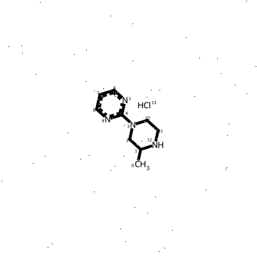 CC1CN(c2ncccn2)CCN1.Cl